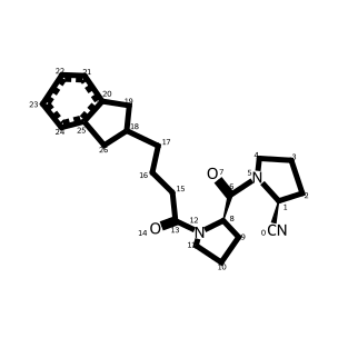 N#C[C@@H]1CCCN1C(=O)[C@H]1CCCN1C(=O)CCCC1Cc2ccccc2C1